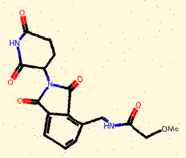 COCC(=O)NCc1cccc2c1C(=O)N(C1CCC(=O)NC1=O)C2=O